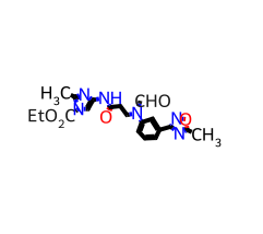 CCOC(=O)n1cc(NC(=O)CCN(C=O)c2cccc(-c3noc(C)n3)c2)nc1C